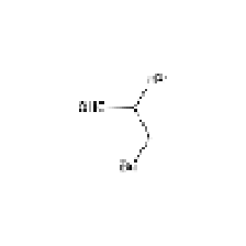 CCCC(C=O)CC(C)CC